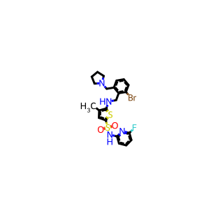 Cc1cc(S(=O)(=O)Nc2cccc(F)n2)sc1NCc1c(Br)cccc1CN1CCCC1